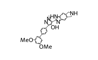 COc1cc(OC)cc(-c2ccc(-c3nn(C)c(-c4nc5cc6c(cc5[nH]4)CNC6)c3O)cc2)c1